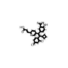 O=C(O)/C=C/c1ccc(/C(=C(\c2ccc(Cl)cc2Cl)C2CCC2)c2ccc3[nH]nc(F)c3c2)cn1